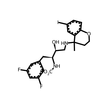 CC1(NC[C@H](O)[C@H](Cc2cc(F)cc(F)c2)NC(=O)O)CCOc2ccc(I)cc21